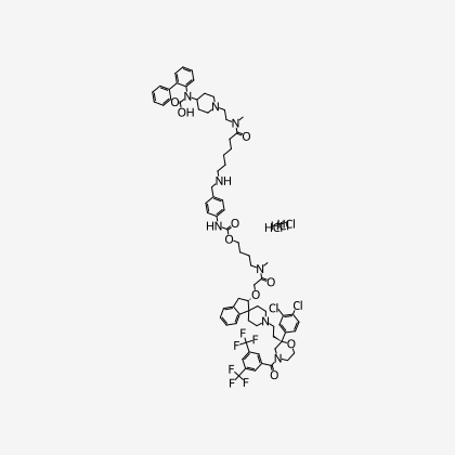 CN(CCN1CCC(N(C(=O)O)c2ccccc2-c2ccccc2)CC1)C(=O)CCCCCNCc1ccc(NC(=O)OCCCCN(C)C(=O)CO[C@H]2Cc3ccccc3C23CCN(CC[C@]2(c4ccc(Cl)c(Cl)c4)CN(C(=O)c4cc(C(F)(F)F)cc(C(F)(F)F)c4)CCO2)CC3)cc1.Cl.Cl.Cl